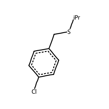 CC(C)SCc1ccc(Cl)cc1